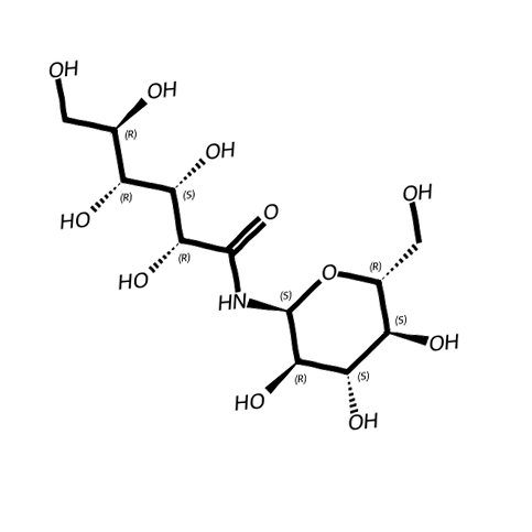 O=C(N[C@H]1O[C@H](CO)[C@@H](O)[C@H](O)[C@H]1O)[C@H](O)[C@@H](O)[C@H](O)[C@H](O)CO